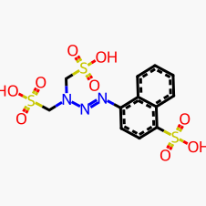 O=S(=O)(O)CN(CS(=O)(=O)O)N=Nc1ccc(S(=O)(=O)O)c2ccccc12